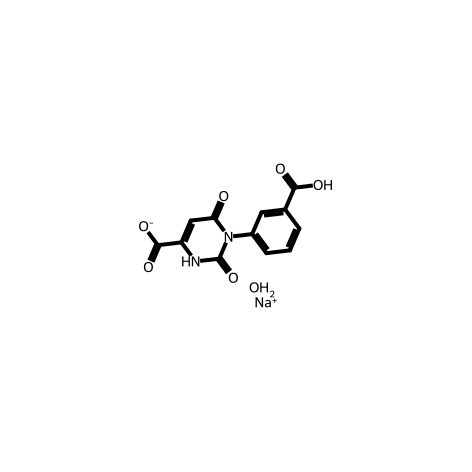 O.O=C(O)c1cccc(-n2c(=O)cc(C(=O)[O-])[nH]c2=O)c1.[Na+]